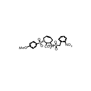 COc1ccc(S(=O)(=O)N2CC=CCC(NS(=O)(=O)Cc3ccccc3[N+](=O)[O-])C2C(=O)O)cc1